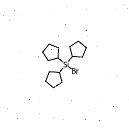 Br[Si](C1CCCC1)(C1CCCC1)C1CCCC1